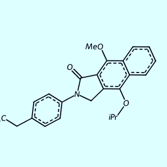 COc1c2c(c(OC(C)C)c3ccccc13)CN(c1ccc(CC(=O)O)cc1)C2=O